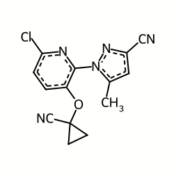 Cc1cc(C#N)nn1-c1nc(Cl)ccc1OC1(C#N)CC1